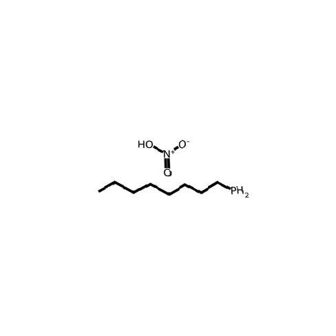 CCCCCCCCP.O=[N+]([O-])O